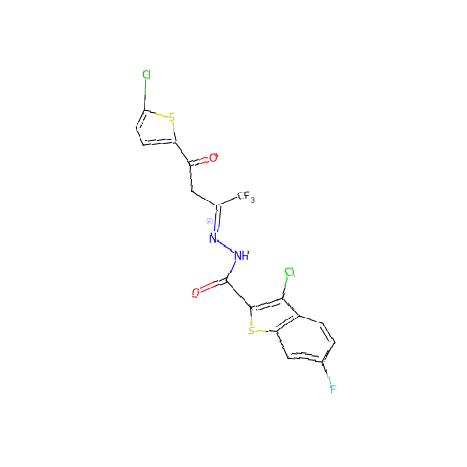 O=C(C/C(=N/NC(=O)c1sc2cc(F)ccc2c1Cl)C(F)(F)F)c1ccc(Cl)s1